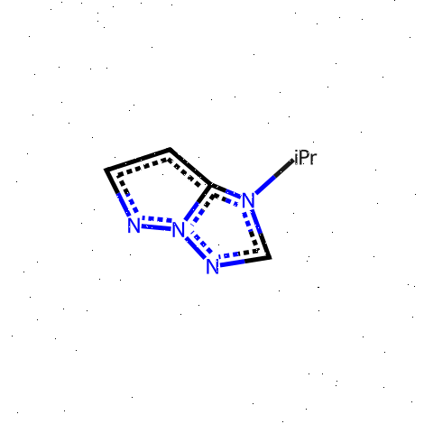 CC(C)n1cnn2nccc12